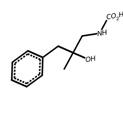 CC(O)(CNC(=O)O)Cc1ccccc1